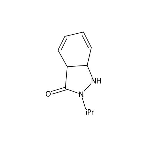 CC(C)N1NC2C=CC=CC2C1=O